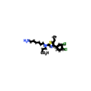 CC(C)Cc1sc(N(CCCCCCN)CCC(=O)O)nc1-c1ccc(Cl)c(Cl)c1